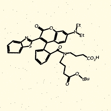 CCN(CC)c1ccc2c(-c3ccccc3C(=O)N(CCCC(=O)O)CCCC(=O)OC(C)(C)C)c(-c3nc4ccccc4s3)c(=O)oc2c1